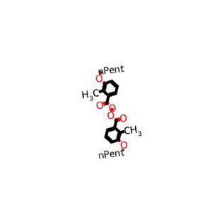 CCCCCOc1cccc(C(=O)OOC(=O)c2cccc(OCCCCC)c2C)c1C